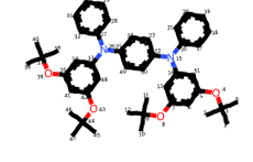 CC(C)(C)Oc1cc(OC(C)(C)C)cc(N(c2ccccc2)c2ccc(N(c3ccccc3)c3cc(OC(C)(C)C)cc(OC(C)(C)C)c3)cc2)c1